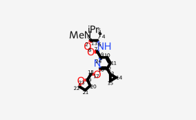 CNC(=O)[C@H](CC(C)C)NC(=O)c1ccc(C2CC2)c(OCC2CCCO2)n1